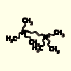 CCC[N+](CCC)(CCC)CCCCC[N+](CCC)(CCC)CCC